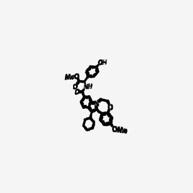 COC(=O)[C@@H](NC(=O)c1ccc2c(C3CCCCC3)c3n(c2c1)CCOc1cc(OC)ccc1-3)c1ccc(O)cc1